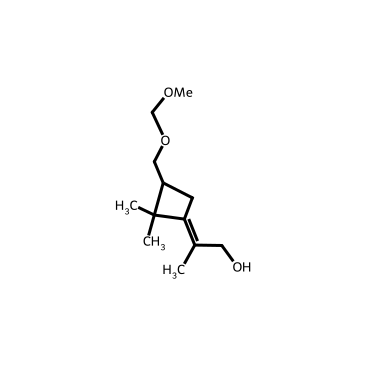 COCOCC1CC(=C(C)CO)C1(C)C